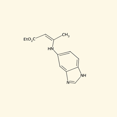 CCOC(=O)/C=C(/C)Nc1ccc2[nH]cnc2c1